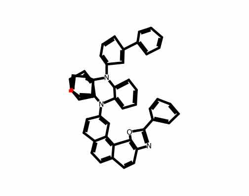 c1ccc(-c2cccc(N(c3ccccc3)c3ccccc3N(c3ccccc3)c3ccc4ccc5ccc6nc(-c7ccccc7)oc6c5c4c3)c2)cc1